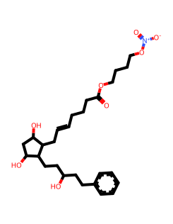 O=C(CCCC=CCC1C(O)CC(O)C1CCC(O)CCc1ccccc1)OCCCCO[N+](=O)[O-]